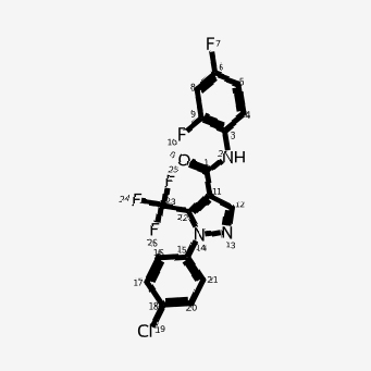 O=C(Nc1ccc(F)cc1F)c1cnn(-c2ccc(Cl)cc2)c1C(F)(F)F